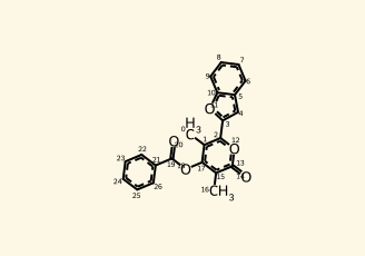 Cc1c(-c2cc3ccccc3o2)oc(=O)c(C)c1OC(=O)c1ccccc1